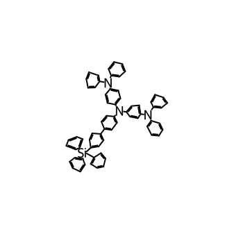 c1ccc(N(c2ccccc2)c2ccc(N(c3ccc(-c4ccc([Si](c5ccccc5)(c5ccccc5)c5ccccc5)cc4)cc3)c3ccc(N(c4ccccc4)c4ccccc4)cc3)cc2)cc1